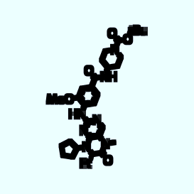 CC[C@@H]1C(=O)N(C)c2cnc(Nc3ccc(C(=O)NC4CCN(C(=O)OC(C)(C)C)CC4)cc3OC)nc2N1C1CCCC1